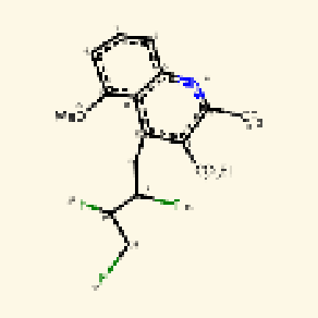 CCOC(=O)c1c(C(F)(F)F)nc2cccc(OC)c2c1CC(F)C(F)CF